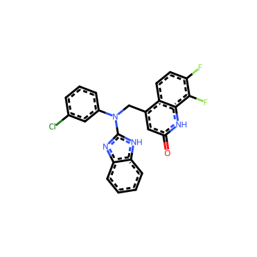 O=c1cc(CN(c2cccc(Cl)c2)c2nc3ccccc3[nH]2)c2ccc(F)c(F)c2[nH]1